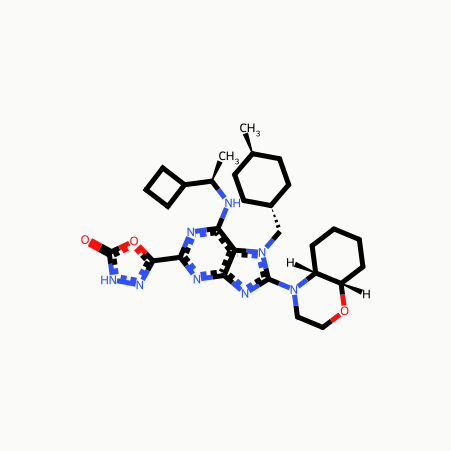 C[C@@H](Nc1nc(-c2n[nH]c(=O)o2)nc2nc(N3CCO[C@H]4CCCC[C@H]43)n(C[C@H]3CC[C@H](C)CC3)c12)C1CCC1